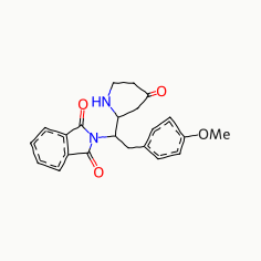 COc1ccc(CC(C2CC(=O)CCN2)N2C(=O)c3ccccc3C2=O)cc1